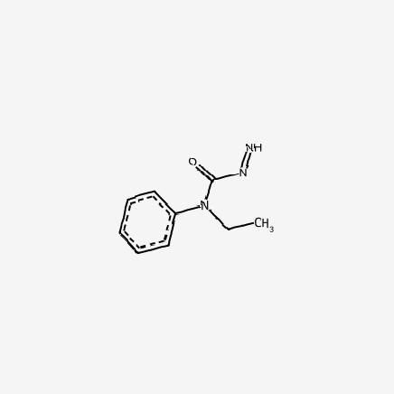 CCN(C(=O)N=N)c1ccccc1